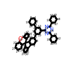 c1ccc(-c2cc(-c3ccc4c(c3)C3(c5ccccc5Oc5ccccc53)c3ccccc3-4)cc(-c3nc(-c4ccccc4)nc(-c4ccccc4)n3)c2)cc1